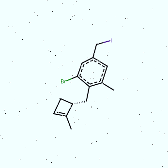 CC1=CC[C@@H]1Cc1c(C)cc(CI)cc1Br